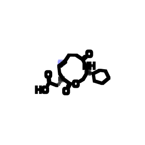 O=C(O)C[C@@H]1C/C=C/CCC(=O)N[C@H](C2CCCCC2)COC1=O